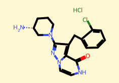 Cl.N[C@@H]1CCCN(c2nn3cc[nH]c(=O)c3c2Cc2ccccc2Cl)C1